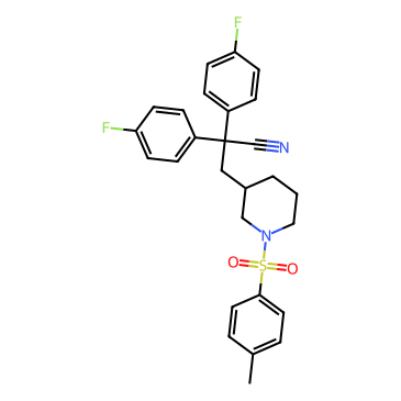 Cc1ccc(S(=O)(=O)N2CCCC(CC(C#N)(c3ccc(F)cc3)c3ccc(F)cc3)C2)cc1